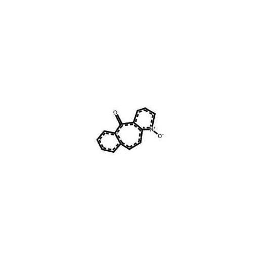 O=c1c2ccccc2ccc2c1ccc[n+]2[O-]